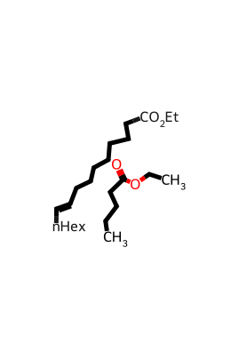 CCCCC(=O)OCC.CCCCCCC=CCCCCCCCC(=O)OCC